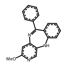 COc1cc2c(cn1)Nc1ccccc1C(c1ccccc1)=N2